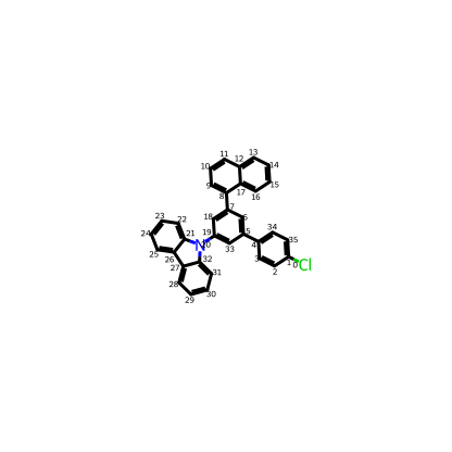 Clc1ccc(-c2cc(-c3cccc4ccccc34)cc(-n3c4ccccc4c4ccccc43)c2)cc1